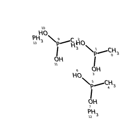 CP(O)O.CP(O)O.CP(O)O.P.P